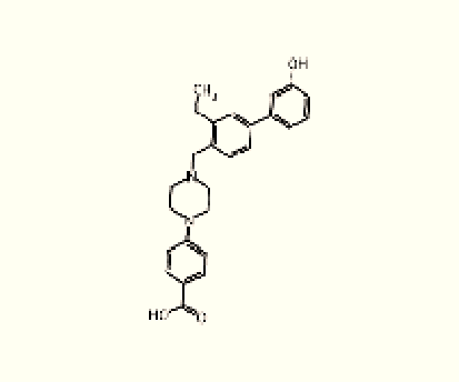 CCc1cc(-c2cccc(O)c2)ccc1CN1CCN(c2ccc(C(=O)O)cc2)CC1